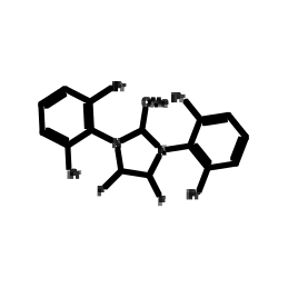 COC1N(c2c(C(C)C)cccc2C(C)C)C(F)C(F)N1c1c(C(C)C)cccc1C(C)C